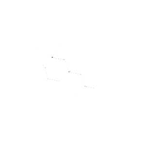 CC(C)CC1CCNC(F)(F)C1